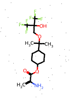 C=C(N)C(=O)OC1CCC(C(C)(C)OCC(O)(C(F)(F)F)C(F)(F)F)CC1